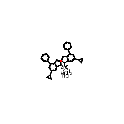 CC1=Cc2c(-c3ccccc3)cc(C3CC3)cc2[CH]1[Zr]([CH3])([CH3])(=[SiH2])[CH]1C(C)=Cc2c(-c3ccccc3)cc(C3CC3)cc21.Cl.Cl